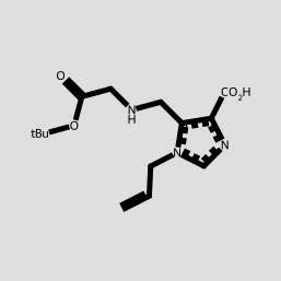 C=CCn1cnc(C(=O)O)c1CNCC(=O)OC(C)(C)C